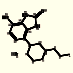 Br.CCCN1CCCC(c2ccc(O)c3[nH]c(=O)[nH]c23)C1